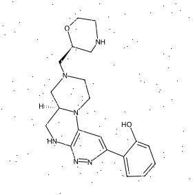 Oc1ccccc1-c1cc2c(nn1)NC[C@H]1CN(C[C@@H]3CNCCO3)CCN21